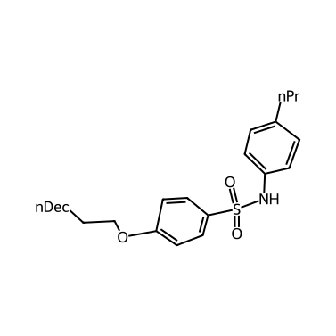 CCCCCCCCCCCCOc1ccc(S(=O)(=O)Nc2ccc(CCC)cc2)cc1